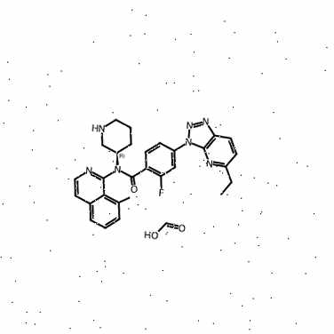 CCc1ccc2nnn(-c3ccc(C(=O)N(c4nccc5cccc(C)c45)[C@@H]4CCCNC4)c(F)c3)c2n1.O=CO